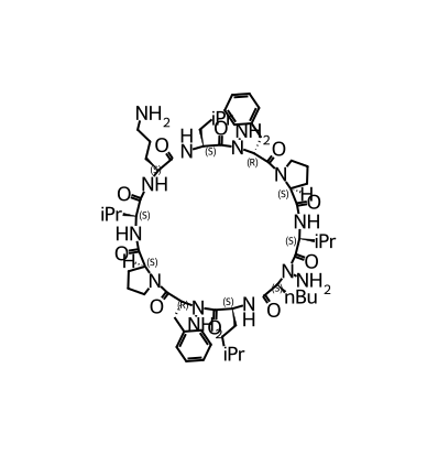 CCCC[C@H]1C(=O)N[C@@H](CCC(C)C)C(=O)N(N)[C@H](Cc2ccccc2)C(=O)N2CCC[C@H]2C(=O)N[C@@H](C(C)C)C(=O)N[C@@H](CCCN)C(=O)N[C@@H](CC(C)C)C(=O)N(N)[C@H](Cc2ccccc2)C(=O)N2CCC[C@H]2C(=O)N[C@@H](C(C)C)C(=O)N1N